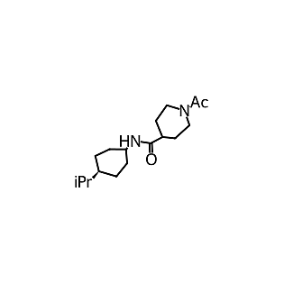 CC(=O)N1CCC(C(=O)N[C@H]2CC[C@H](C(C)C)CC2)CC1